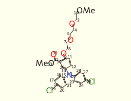 COCCOCCOCCOc1ccc(N(c2ccc(Cl)cc2)c2ccc(Cl)cc2)cc1C(=O)OC